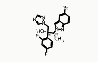 C[C@@H](n1cc2cc(Br)ccc2n1)[C@](O)(Cn1cncn1)c1ccc(F)cc1F